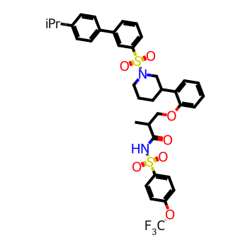 CC(COc1ccccc1C1CCCN(S(=O)(=O)c2cccc(-c3ccc(C(C)C)cc3)c2)C1)C(=O)NS(=O)(=O)c1ccc(OC(F)(F)F)cc1